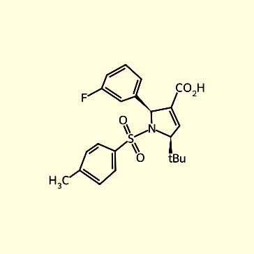 Cc1ccc(S(=O)(=O)N2[C@@H](c3cccc(F)c3)C(C(=O)O)=C[C@H]2C(C)(C)C)cc1